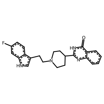 O=c1[nH]c(C2CCN(CCc3c[nH]c4cc(F)ccc34)CC2)nc2ccccc12